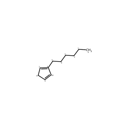 CCCCCCC1=[C]CC=C1